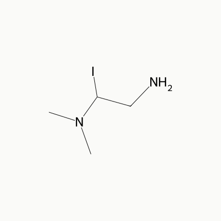 CN(C)C(I)CN